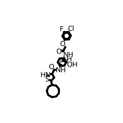 O=C(COc1ccc(Cl)c(F)c1)NC12CCC(NC(=O)C3CC(C4CCCCCCCC4)SN3)(CC1)C[C@@H]2O